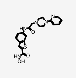 O=C(CN1CCN(c2ccccn2)CC1)Nc1ccc2cc(C(=O)NO)sc2c1